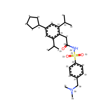 CC(C)c1cc(C2CCCC2)cc(C(C)C)c1CC(=O)NS(=O)(=O)c1ccc(CN(C)C)cc1